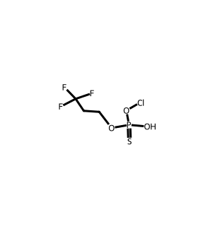 OP(=S)(OCl)OCCC(F)(F)F